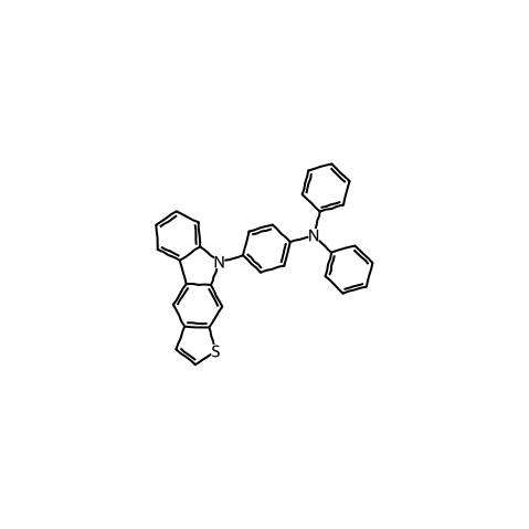 c1ccc(N(c2ccccc2)c2ccc(-n3c4ccccc4c4cc5ccsc5cc43)cc2)cc1